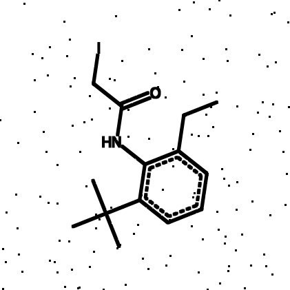 CCc1cccc(C(C)(C)C)c1NC(=O)CI